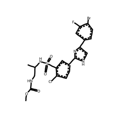 COC(=O)NCC(C)NS(=O)(=O)c1cc(-c2nc(-c3ccc(Br)c(F)c3)c[nH]2)ccc1Cl